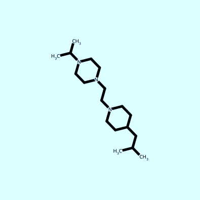 CC(C)CC1CCN(CCN2CCN(C(C)C)CC2)CC1